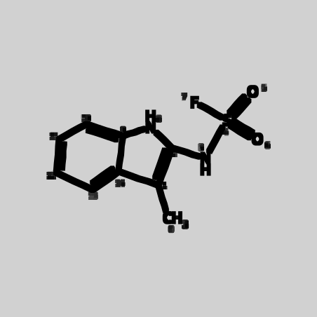 Cc1c(NS(=O)(=O)F)[nH]c2ccccc12